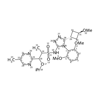 COc1cccc(OC)c1-n1c(NS(=O)(=O)C(C)C(OC(C)C)c2ncc(C)cn2)nnc1[C@H]1C[C@H](OC)C1